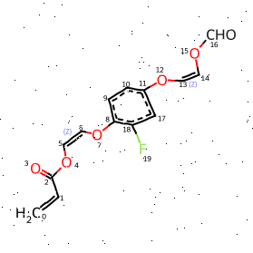 C=CC(=O)O/C=C\Oc1ccc(O/C=C\OC=O)cc1F